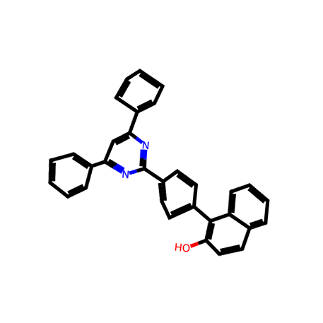 Oc1ccc2ccccc2c1-c1ccc(-c2nc(-c3ccccc3)cc(-c3ccccc3)n2)cc1